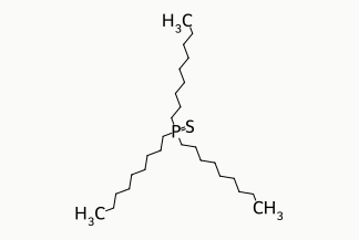 CCCCCCCCCP(=S)(CCCCCCCCC)CCCCCCCCC